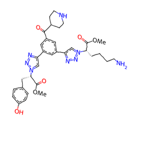 COC(=O)[C@H](CCCCN)n1cc(-c2cc(C(=O)C3CCNCC3)cc(-c3cn([C@@H](Cc4ccc(O)cc4)C(=O)OC)nn3)c2)nn1